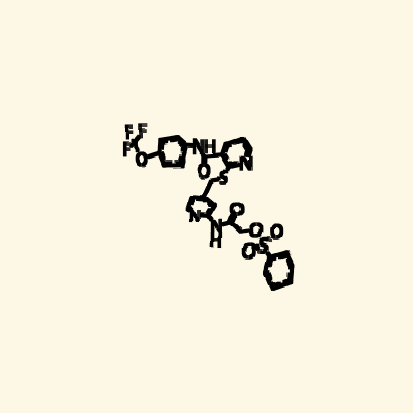 O=C(COS(=O)(=O)c1ccccc1)Nc1cc(CSc2ncccc2C(=O)Nc2ccc(OC(F)(F)F)cc2)ccn1